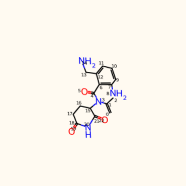 C=C(C)N(C(=O)c1c(N)cccc1CN)C1CCC(=O)NC1=O